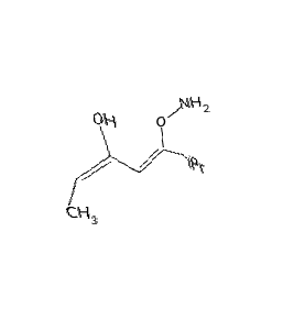 C/C=C(O)\C=C(/ON)C(C)C